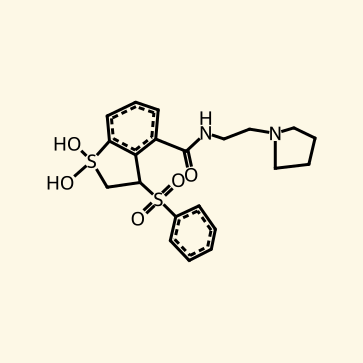 O=C(NCCN1CCCC1)c1cccc2c1C(S(=O)(=O)c1ccccc1)CS2(O)O